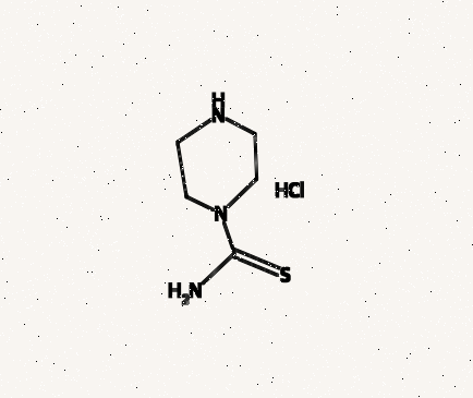 Cl.NC(=S)N1CCNCC1